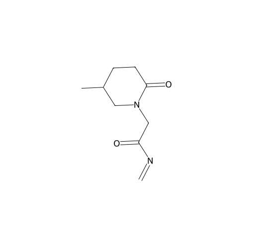 C=NC(=O)CN1CC(C)CCC1=O